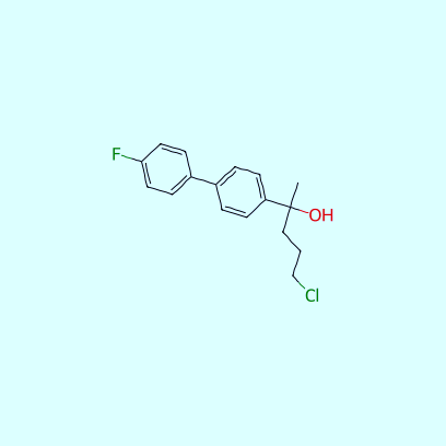 CC(O)(CCCCl)c1ccc(-c2ccc(F)cc2)cc1